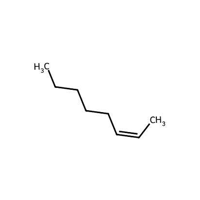 C/C=C\CCCCC